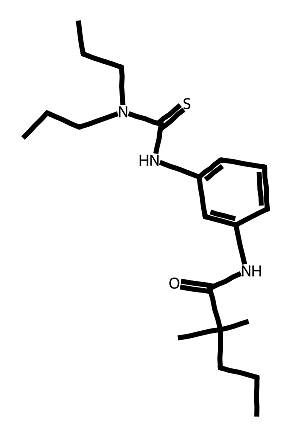 CCCN(CCC)C(=S)Nc1cccc(NC(=O)C(C)(C)CCC)c1